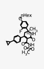 CCCCCCOc1ccc([C@]2(C)CC(c3ccc(C4CC4)cc3)=C(C(=O)NS(C)(=O)=O)C(=O)N2)c(F)c1